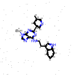 CC[C@H](C)n1cnc2c(NCCc3c[nH]c4ccccc34)nc(-c3cncc(C)c3)nc21